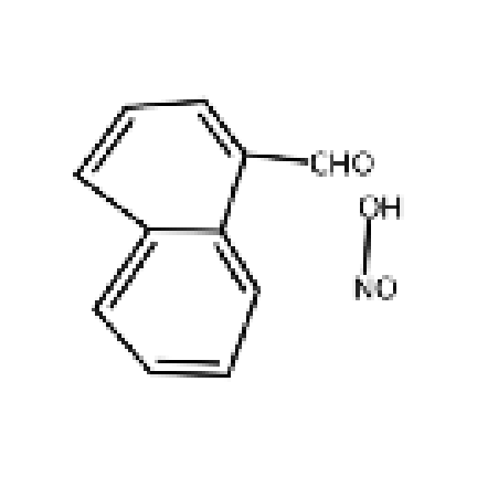 O=Cc1cccc2ccccc12.O=NO